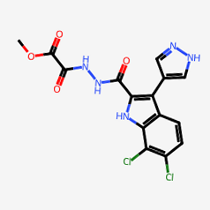 COC(=O)C(=O)NNC(=O)c1[nH]c2c(Cl)c(Cl)ccc2c1-c1cn[nH]c1